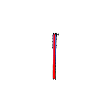 N#C/N=N/N=N/N=N/N=N/N=N/N=N/N=N/N=N/N=N/N=N/N=N/N=N/N=N/N=N/N=N/N=N/N=N/N=N/N=N/N=N/N=N/N=N/N=N/N=N/N=N/N=N/N=N/N=N/N=N/N=N/N=N/N=N/N=N/N=N/N=N/N=N/N=N/N=N/N=N/N=N/N=N/N=N/N=N/N=N/N=N/N=N/N=N/N=N/N=N/N=N/N=N/N=N/N=N/N=N/N=N/N=N/N=N/N=N/N=N/N=N/N=N/N=N/N=N/N=N/N=N/N=N/N=N/N=N/N=N/N=N/N=N/N=N